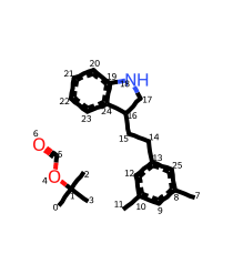 CC(C)(C)OC=O.Cc1cc(C)cc(CCC2CNc3ccccc32)c1